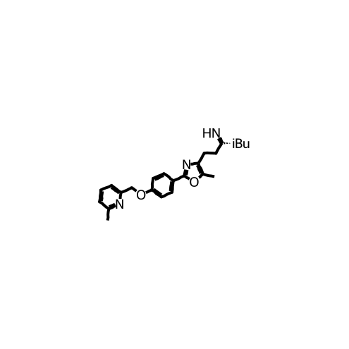 CC[C@@H](C)C(=N)CCc1nc(-c2ccc(OCc3cccc(C)n3)cc2)oc1C